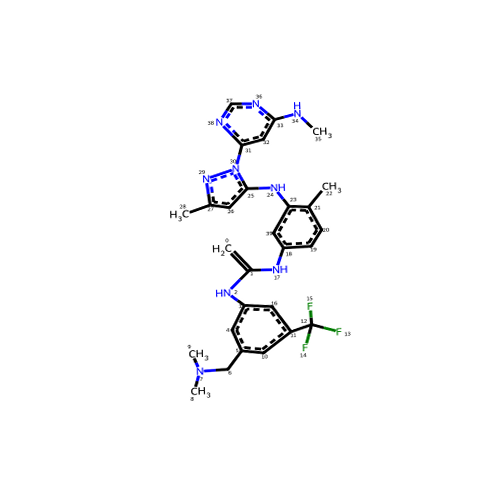 C=C(Nc1cc(CN(C)C)cc(C(F)(F)F)c1)Nc1ccc(C)c(Nc2cc(C)nn2-c2cc(NC)ncn2)c1